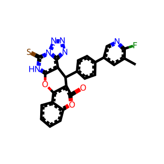 Cc1cc(-c2ccc(C3c4c(c5ccccc5oc4=O)Oc4[nH]c(=S)n5nnnc5c43)cc2)cnc1F